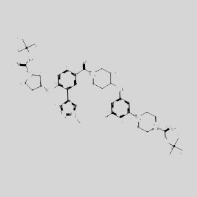 Cn1cc(-c2cc(C(=O)N3CCC(Oc4cc(F)cc(N5CCN(C(=O)OC(C)(C)C)CC5)c4)CC3)ccc2O[C@H]2CCN(C(=O)OC(C)(C)C)C2)cn1